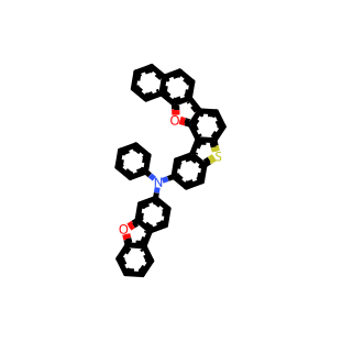 c1ccc(N(c2ccc3c(c2)oc2ccccc23)c2ccc3sc4ccc5c6ccc7ccccc7c6oc5c4c3c2)cc1